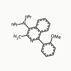 CCCN(CCC)c1c(C)nc(-c2ccccc2OC)c2ccccc12